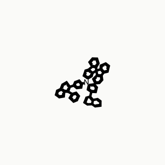 C1=CC2=C(c3cccc(N(c4ccc(-c5ccc6ccccc6c5-c5ccccc5)cc4)c4ccc5c(c4)C4(c6ccccc6-c6ccccc64)c4ccccc4-5)c3)C=CCC2C=C1